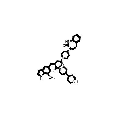 Cc1cc(CC(CC(=O)N2CCC(N3CCc4ccccc4NC3=O)CC2)C(=O)[N+]2(C)CCC(C3CCNCC3)CC2)cc2cc[nH]c12